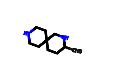 O=CC1CCC2(CCNCC2)CN1